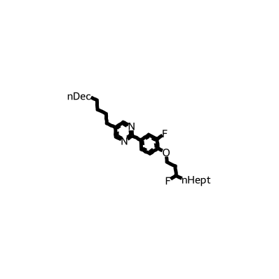 CCCCCCCCCCCCCCc1cnc(-c2ccc(OCCC(F)CCCCCCC)c(F)c2)nc1